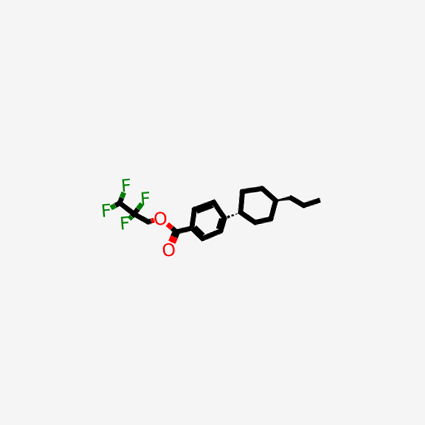 CCC[C@H]1CC[C@H](c2ccc(C(=O)OCC(F)(F)C(F)F)cc2)CC1